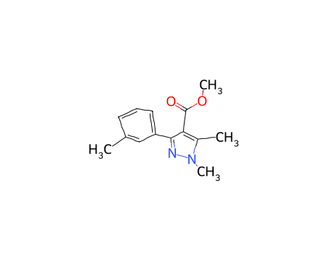 COC(=O)c1c(-c2cccc(C)c2)nn(C)c1C